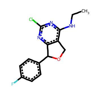 CCNc1nc(Cl)nc2c1COC2c1ccc(F)cc1